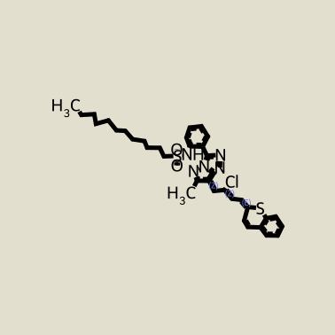 CCCCCCCCCCCCS(=O)(=O)Nc1ccccc1-c1nnc2\c(=C/C(Cl)=C/C=C3\C=Cc4ccccc4S3)c(C)nn12